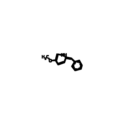 COC1=CNC(=Cc2ccccc2)C=C1